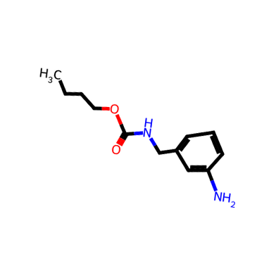 CCCCOC(=O)NCc1cccc(N)c1